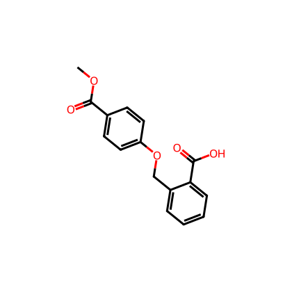 COC(=O)c1ccc(OCc2ccccc2C(=O)O)cc1